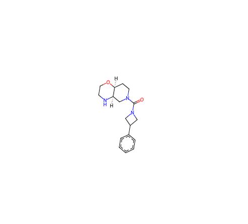 O=C(N1CC(c2ccccc2)C1)N1CC[C@@H]2OCCN[C@@H]2C1